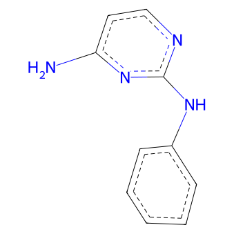 Nc1ccnc(Nc2ccccc2)n1